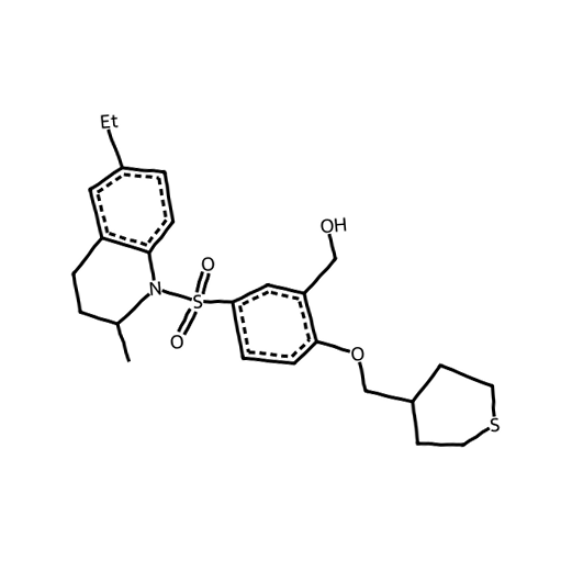 CCc1ccc2c(c1)CCC(C)N2S(=O)(=O)c1ccc(OCC2CCSCC2)c(CO)c1